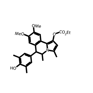 CCOC(=O)Oc1cc(C)n2c1-c1cc(OC)c(OC)cc1C(c1cc(C)c(O)c(C)c1)C2C